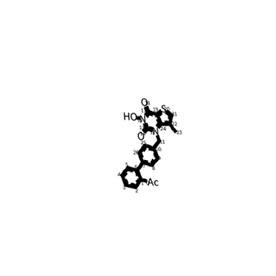 CC(=O)c1ccccc1-c1ccc(Cn2c(=O)n(O)c(=O)c3scc(C)c32)cc1